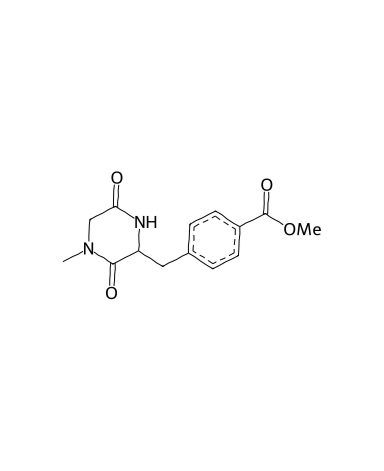 COC(=O)c1ccc(CC2NC(=O)CN(C)C2=O)cc1